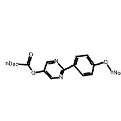 CCCCCCCCCCC(=O)Oc1cnc(-c2ccc(OCCCCCCCCC)cc2)nc1